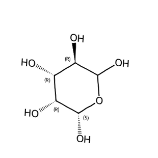 OC1O[C@H](O)[C@H](O)[C@H](O)[C@H]1O